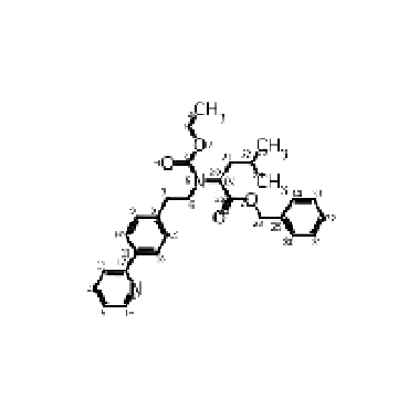 CCOC(=O)N(CCc1ccc(-c2ccccn2)cc1)[C@@H](CC(C)C)C(=O)OCc1ccccc1